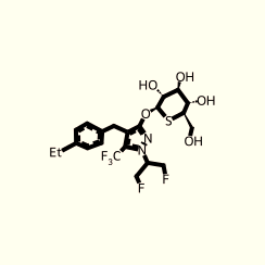 CCc1ccc(Cc2c(O[C@@H]3S[C@H](CO)[C@@H](O)[C@H](O)[C@H]3O)nn(C(CF)CF)c2C(F)(F)F)cc1